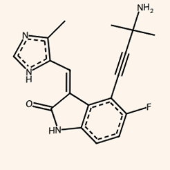 Cc1nc[nH]c1C=C1C(=O)Nc2ccc(F)c(C#CC(C)(C)N)c21